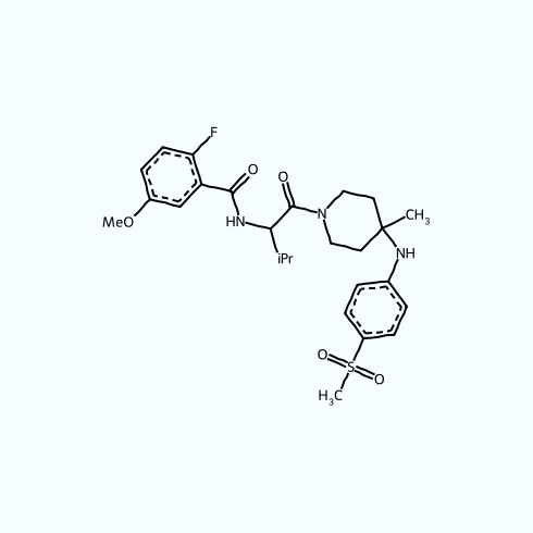 COc1ccc(F)c(C(=O)NC(C(=O)N2CCC(C)(Nc3ccc(S(C)(=O)=O)cc3)CC2)C(C)C)c1